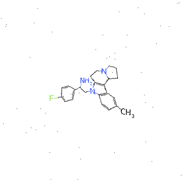 Cc1ccc2c(c1)c1c(n2CC(N)c2ccc(F)cc2)CCN2CCCC12